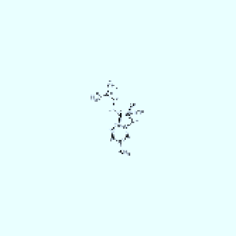 Cc1ccc2c(c1)[nH]c(=O)n2CCN(C)C.Cl